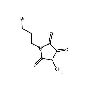 CN1C(=O)C(=O)N(CCCBr)C1=S